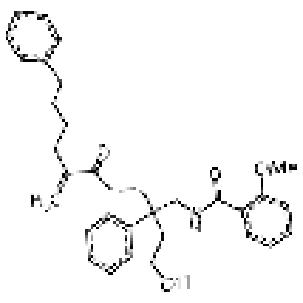 C=C(CCCCc1ccccc1)C(=O)CCC(CCO)(CNC(=O)c1ccccc1OC)c1ccccc1